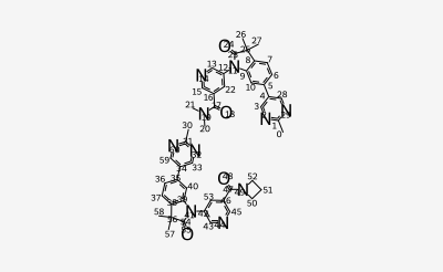 Cc1ncc(-c2ccc3c(c2)N(c2cncc(C(=O)N(C)C)c2)C(=O)C3(C)C)cn1.Cc1ncc(-c2ccc3c(c2)N(c2cncc(C(=O)N4CCC4)c2)C(=O)C3(C)C)cn1